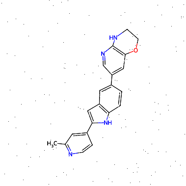 Cc1cc(-c2cc3cc(-c4cnc5c(c4)OCCN5)ccc3[nH]2)ccn1